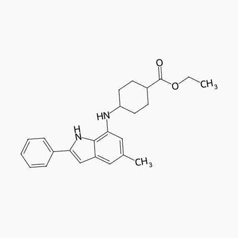 CCOC(=O)C1CCC(Nc2cc(C)cc3cc(-c4ccccc4)[nH]c23)CC1